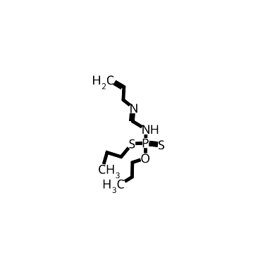 C=CCN=CNP(=S)(OCCC)SCCC